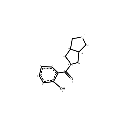 O=C(c1ccccc1O)N1CC2COCC2C1